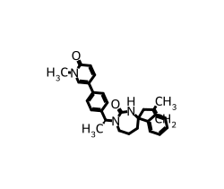 C=C(C)CC1(c2ccccc2)CCCN([C@@H](C)c2ccc(-c3ccc(=O)n(C)c3)cc2)C(=O)N1